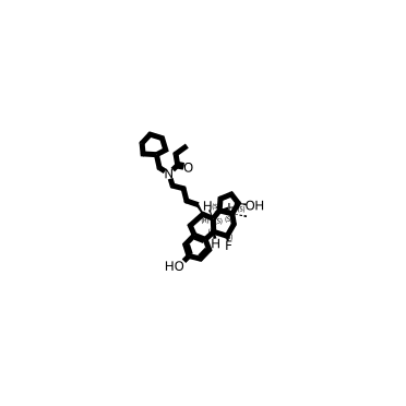 CCC(=O)N(CCCC[C@@H]1Cc2cc(O)ccc2[C@@H]2[C@@H]1[C@@H]1CC[C@H](O)[C@@]1(C)C[C@@H]2F)CC1CCCCC1